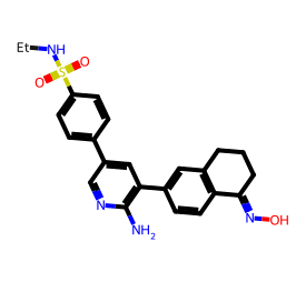 CCNS(=O)(=O)c1ccc(-c2cnc(N)c(-c3ccc4c(c3)CCCC4=NO)c2)cc1